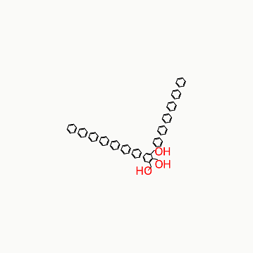 OCc1cccc(CO)c1CO.c1ccccc1.c1ccccc1.c1ccccc1.c1ccccc1.c1ccccc1.c1ccccc1.c1ccccc1.c1ccccc1.c1ccccc1.c1ccccc1.c1ccccc1.c1ccccc1.c1ccccc1